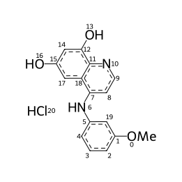 COc1cccc(Nc2ccnc3c(O)cc(O)cc23)c1.Cl